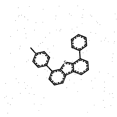 Cc1ccc(-c2cccc3c2sc2c(-c4ccccc4)cccc23)cc1